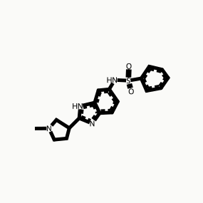 CN1CCC(c2nc3ccc(NS(=O)(=O)c4ccccc4)cc3[nH]2)C1